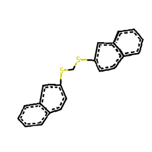 c1ccc2cc(SCSc3ccc4ccccc4c3)ccc2c1